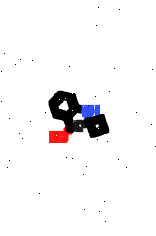 N#CC1(Nc2ccccc2CO)CCC1